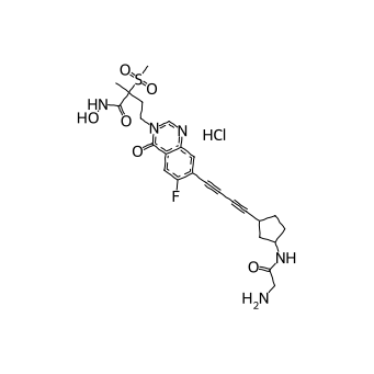 CC(CCn1cnc2cc(C#CC#CC3CCC(NC(=O)CN)C3)c(F)cc2c1=O)(C(=O)NO)S(C)(=O)=O.Cl